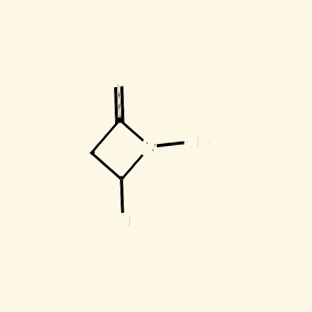 CC1CC(=O)N1C=O